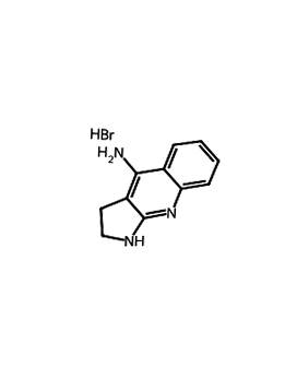 Br.Nc1c2c(nc3ccccc13)NCC2